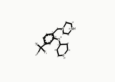 FC(F)(F)c1ccc(CN2CCNCC2)c(OC2CCSCC2)c1